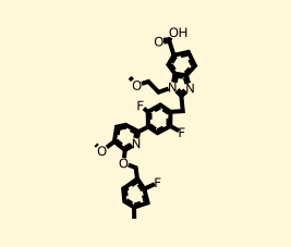 COCCn1c(Cc2cc(F)c(-c3ccc(OC)c(OCc4ccc(C)cc4F)n3)cc2F)nc2ccc(C(=O)O)cc21